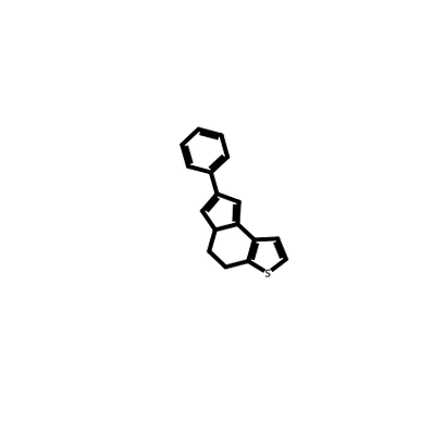 C1=C(c2ccccc2)C=C2c3ccsc3CCC12